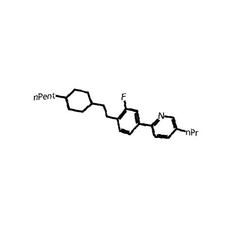 CCCCCC1CCC(CCc2ccc(-c3ccc(CCC)cn3)cc2F)CC1